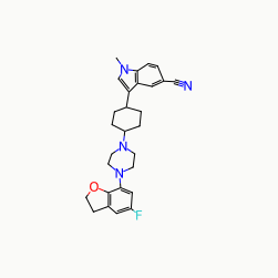 Cn1cc(C2CCC(N3CCN(c4cc(F)cc5c4OCC5)CC3)CC2)c2cc(C#N)ccc21